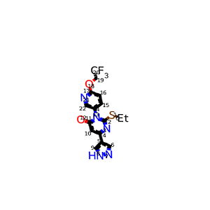 CCSc1nc(-c2cn[nH]c2)cc(=O)n1-c1ccc(OCC(F)(F)F)nc1